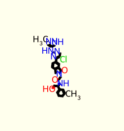 CN/C=C(\C=N)Nc1ncc(Cl)c(-c2ccc3c(c2)C(=O)N(CC(=O)NC(CO)C2=CCCC(C)=C2)C3)n1